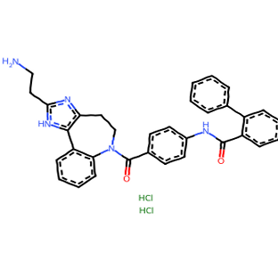 Cl.Cl.NCCc1nc2c([nH]1)-c1ccccc1N(C(=O)c1ccc(NC(=O)c3ccccc3-c3ccccc3)cc1)CC2